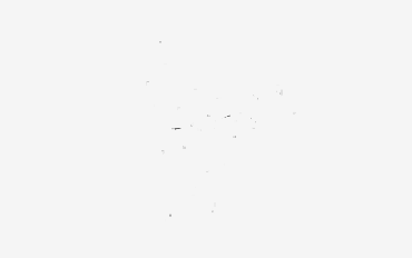 Oc1cc2c(cc1O)[C@H]1c3ccc(O)c(O)c3OC[C@@]1(O)C2.c1c[nH]nn1